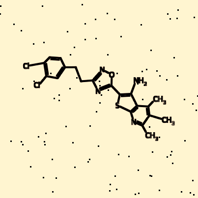 Cc1nc2sc(-c3nc(CCc4ccc(Cl)c(Cl)c4)no3)c(N)c2c(C)c1C